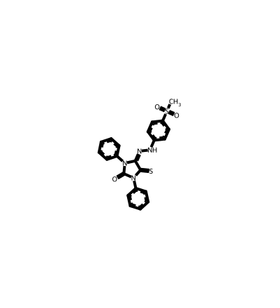 CS(=O)(=O)c1ccc(N/N=C2\C(=S)N(c3ccccc3)C(=O)N2c2ccccc2)cc1